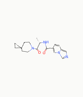 C[C@H](NC(=O)c1ccc2cncn2c1)C(=O)N1CCC2(CC1)CC2